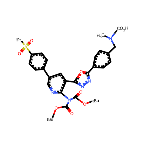 CC(C)S(=O)(=O)c1ccc(-c2cnc(N(C(=O)OC(C)(C)C)C(=O)OC(C)(C)C)c(-c3nnc(-c4ccc(CN(C)C(=O)O)cc4)o3)c2)cc1